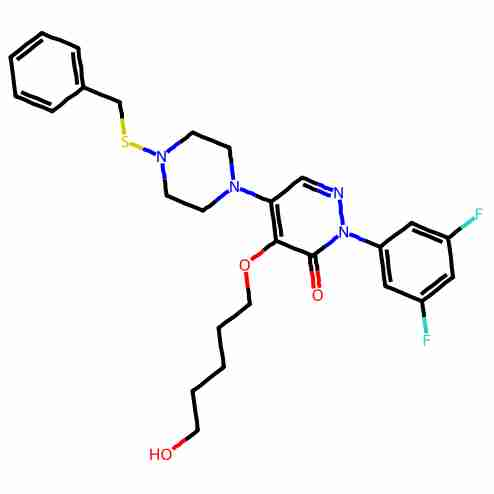 O=c1c(OCCCCCO)c(N2CCN(SCc3ccccc3)CC2)cnn1-c1cc(F)cc(F)c1